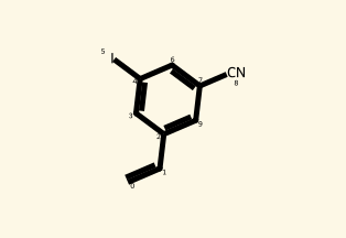 C=Cc1cc(I)cc(C#N)c1